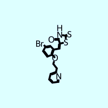 O=C1NC(=S)SC1=Cc1cc(Br)ccc1OCCc1ccccn1